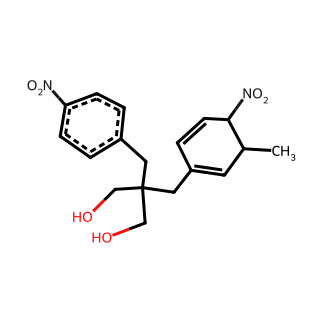 CC1C=C(CC(CO)(CO)Cc2ccc([N+](=O)[O-])cc2)C=CC1[N+](=O)[O-]